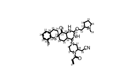 C=CC(=O)N1CCN(C2NC(OCC3CCCN3C)NC3C(=O)[C@]4(CCc5cccc(F)c5S4)CCC32)CC1CC#N